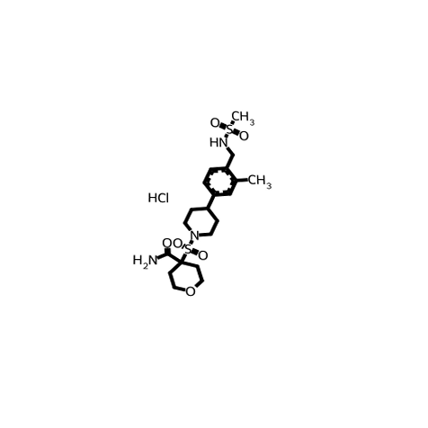 Cc1cc(C2CCN(S(=O)(=O)C3(C(N)=O)CCOCC3)CC2)ccc1CNS(C)(=O)=O.Cl